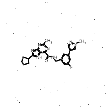 Cc1nc(C(=O)NCc2cc(F)cc(-c3cnn(C)c3)c2)c2[nH]c(C3CCCC3)nc2n1